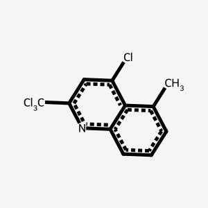 Cc1cccc2nc(C(Cl)(Cl)Cl)cc(Cl)c12